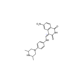 CC1CN(c2ccc(N/C=C3\C(=O)NC(=O)c4ccc([N+](=O)[O-])cc43)cc2)CC(C)N1